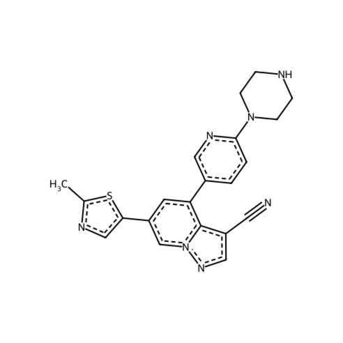 Cc1ncc(-c2cc(-c3ccc(N4CCNCC4)nc3)c3c(C#N)cnn3c2)s1